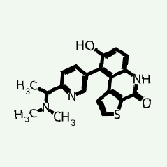 CC(c1ccc(-c2c(O)ccc3[nH]c(=O)c4sccc4c23)cn1)N(C)C